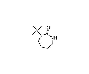 CC(C)(C)N1CCCCNC1=O